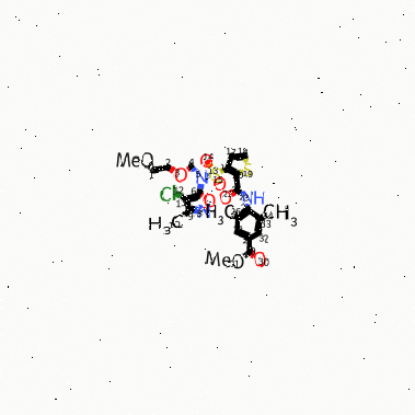 COCCOCN(c1onc(C)c1Cl)S(=O)(=O)c1ccsc1C(=O)Nc1c(C)cc(C(=O)OC)cc1C